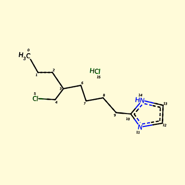 CCCC(CCl)CCCCc1ncc[nH]1.Cl